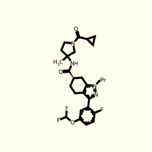 CC(C)n1nc(-c2cc(OC(F)F)ccc2F)c2c1C[C@H](C(=O)NC1(C)CCN(C(=O)C3CC3)C1)CC2